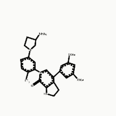 COc1cc(OC)cc(-c2cn(-c3cc(N4CCC(NC(C)=O)C4)ccc3C(F)(F)F)c(=O)c3c2CCN3)c1